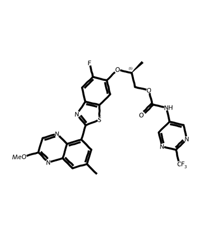 COc1cnc2c(-c3nc4cc(F)c(O[C@@H](C)COC(=O)Nc5cnc(C(F)(F)F)nc5)cc4s3)cc(C)cc2n1